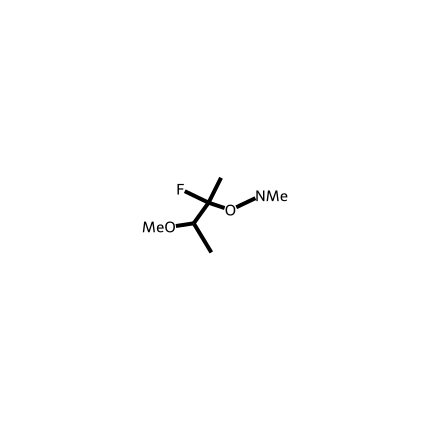 CNOC(C)(F)C(C)OC